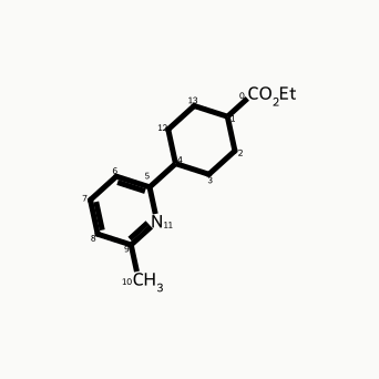 CCOC(=O)C1CCC(c2cccc(C)n2)CC1